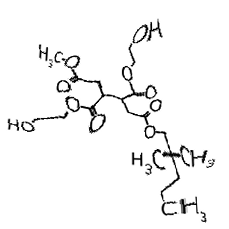 CCCC(C)(C)COC(=O)CC(C(=O)OCCO)C(CC(=O)OC)C(=O)OCCO